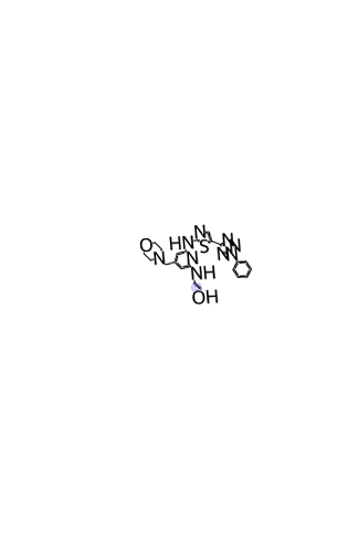 O/C=C/Nc1cc(CN2CCOCC2)cc(Nc2ncc(-c3nnn(-c4ccccc4)n3)s2)n1